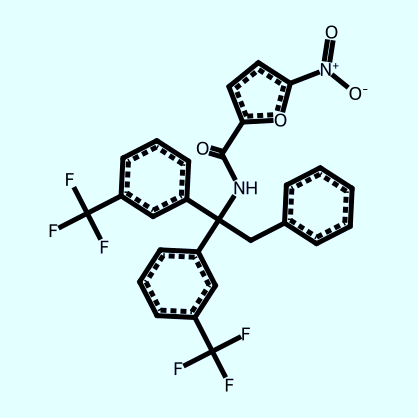 O=C(NC(Cc1ccccc1)(c1cccc(C(F)(F)F)c1)c1cccc(C(F)(F)F)c1)c1ccc([N+](=O)[O-])o1